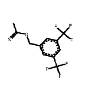 CC(=S)OCc1cc(C(F)(F)F)cc(C(F)(F)F)c1